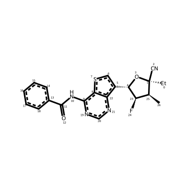 CC[C@@]1(C#N)O[C@@H](c2csc3c(NC(=O)c4ccccc4)ncnc23)[C@H](F)[C@@H]1C